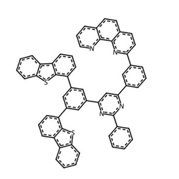 c1ccc(-c2nc(-c3cccc(-c4ccc5ccc6cccnc6c5n4)c3)cc(-c3cc(-c4cccc5c4sc4ccccc45)cc(-c4cccc5c4sc4ccccc45)c3)n2)cc1